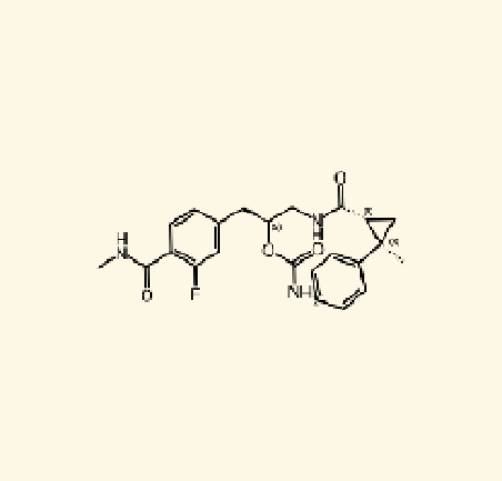 CNC(=O)c1ccc(C[C@@H](CNC(=O)[C@@H]2C[C@@]2(C)c2ccccc2)OC(N)=O)cc1F